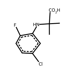 CC(C)(Nc1cc(Cl)ccc1F)C(=O)O